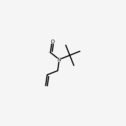 C=CCN([C]=O)C(C)(C)C